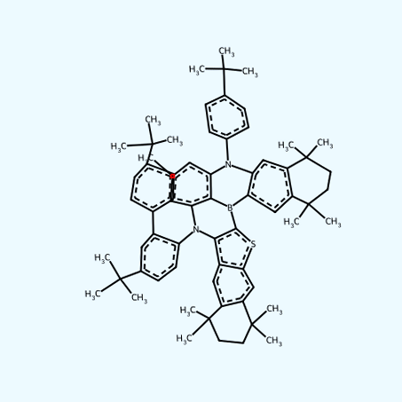 Cc1cc2c3c(c1)N(c1ccc(C(C)(C)C)cc1-c1ccc(C(C)(C)C)cc1)c1c(sc4cc5c(cc14)C(C)(C)CCC5(C)C)B3c1cc3c(cc1N2c1ccc(C(C)(C)C)cc1)C(C)(C)CCC3(C)C